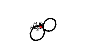 CN(C)C1=C(C(=O)O)C2=CC=CC=CC=CC=CC=CC=CC=CC=CC=CC=CC=CC=CC=C2C=CC=CC=CC=CC=CC=CC=CC=CC=CC=CC=CC=C1